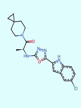 C[C@H](Nc1nnc(-c2cc3cc(Cl)ccc3[nH]2)o1)C(=O)N1CCC2(CC1)CC2